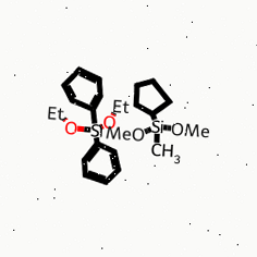 CCO[Si](OCC)(c1ccccc1)c1ccccc1.CO[Si](C)(OC)C1CCCC1